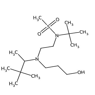 CC(N(CCCO)CCN(C(C)(C)C)S(C)(=O)=O)C(C)(C)C